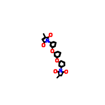 CC1=CC(=O)N(c2cccc(Oc3cccc(Oc4cccc(N5C(=O)C=C(C)C5=O)c4)c3)c2)C1=O